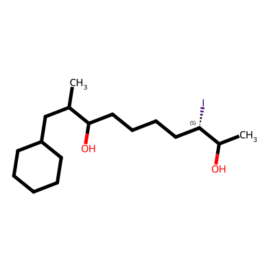 CC(CC1CCCCC1)C(O)CCCC[C@H](I)C(C)O